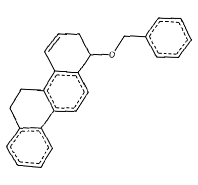 C1=Cc2c(ccc3c2CCc2ccccc2-3)C(OCc2ccccc2)C1